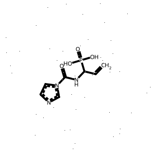 C=CC(NC(=O)n1ccnc1)P(=O)(O)O